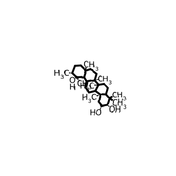 C[C@@H]1CC[C@]2(C)CC[C@]3(C)C(=CCC4[C@@]5(C)C[C@@H](O)[C@@H](O)C(C)(C)C5CC[C@]43C)C2[C@]1(C)O